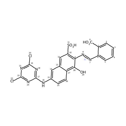 O=C(O)c1ccccc1/N=N/c1c(S(=O)(=O)O)cc2cc(Nc3nc(Cl)nc(Cl)n3)ccc2c1O